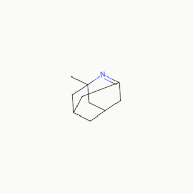 CC12CC3CC(=N1)CC(C3)C2